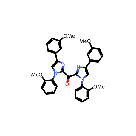 COc1cccc(-c2cn(-c3ccccc3OC)c(C(=O)c3nc(-c4cccc(OC)c4)cn3-c3ccccc3OC)n2)c1